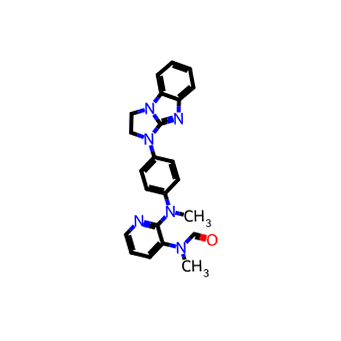 CN(C=O)c1cccnc1N(C)c1ccc(N2CCn3c2nc2ccccc23)cc1